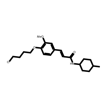 COc1cc(/C=C/C(=O)NC2CCC(C)CC2)ccc1OCCCCCl